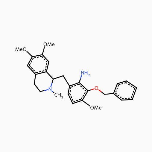 COc1cc2c(cc1OC)C(Cc1ccc(OC)c(OCc3ccccc3)c1N)N(C)CC2